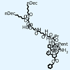 CCCCCCCCCCCCCCCC(=O)OCC(COP(=O)(O)OCCNC(=O)CCCC(=O)NCC(=O)NC(C(=O)NC(CCCCC)C(=O)N1CCCC1C(=O)N1CCCC1C(=O)CC(CCCN/C(N)=N\[N+](=O)[O-])C(=O)OCc1ccccc1)C(C)C)OC(=O)CCCCCCCCCCCCCCC